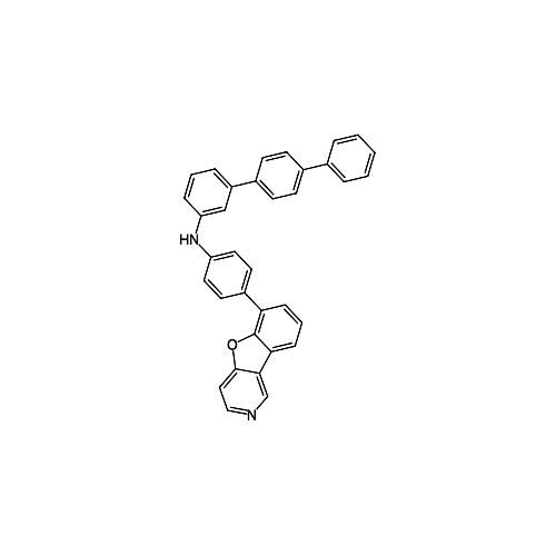 c1ccc(-c2ccc(-c3cccc(Nc4ccc(-c5cccc6c5oc5ccncc56)cc4)c3)cc2)cc1